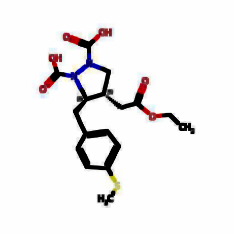 CCOC(=O)C[C@H]1CN(C(=O)O)N(C(=O)O)[C@@H]1Cc1ccc(SC)cc1